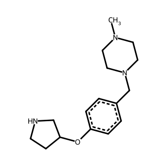 CN1CCN(Cc2ccc(OC3CCNC3)cc2)CC1